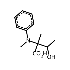 CC(O)C(C)(C(=O)O)N(C)c1ccccc1